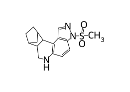 CS(=O)(=O)n1ncc2c3c(ccc21)NCC1C2CCC(C2)C31